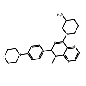 CC1c2nccnc2C(N2CCCC(N)C2)=NC1c1ccc(N2CCOCC2)cc1